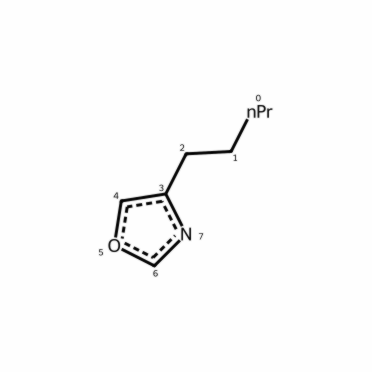 [CH2]CCCCc1cocn1